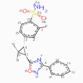 Cc1cc([C@@H]2[C@@H](c3nc(-c4ccccc4)no3)C2(C)C)ccc1S(N)(=O)=O